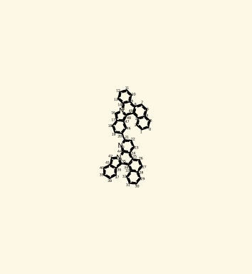 c1ccc2c(c1)ccc1c3ccccc3n3cc4ccc(-c5ccc6c7ccc8ccccc8c7c7c8ccccc8cn7c6n5)cc4c3c21